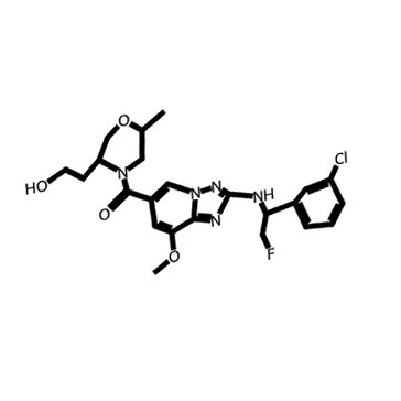 COc1cc(C(=O)N2CC(C)OCC2CCO)cn2nc(NC(CF)c3cccc(Cl)c3)nc12